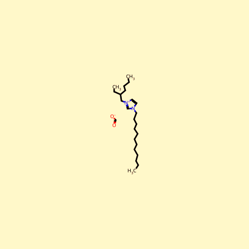 CCCCCCCCCCCCn1cc[n+](CC(CC)CCCC)c1.O=C[O-]